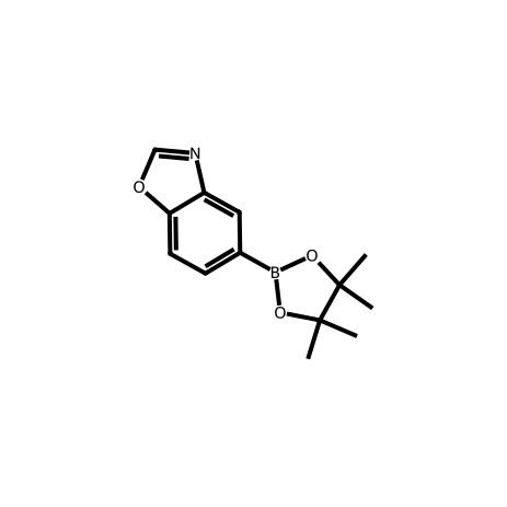 CC1(C)OB(c2ccc3ocnc3c2)OC1(C)C